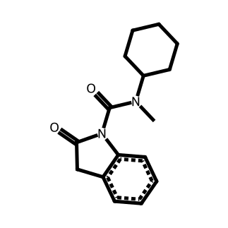 CN(C(=O)N1C(=O)Cc2ccccc21)C1CCCCC1